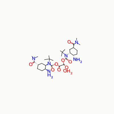 CN(C)C(=O)[C@H]1CC[C@H](N)[C@H](N(C(=O)OC(=O)C(=O)OC(=O)N([C@@H]2C[C@@H](C(=O)N(C)C)CC[C@@H]2N)C(C)(C)C)C(C)(C)C)C1.O